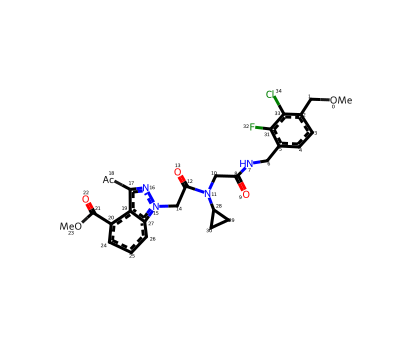 COCc1ccc(CNC(=O)CN(C(=O)Cn2nc(C(C)=O)c3c(C(=O)OC)cccc32)C2CC2)c(F)c1Cl